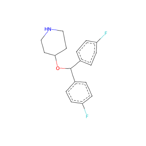 Fc1ccc(C(OC2CCNCC2)c2ccc(F)cc2)cc1